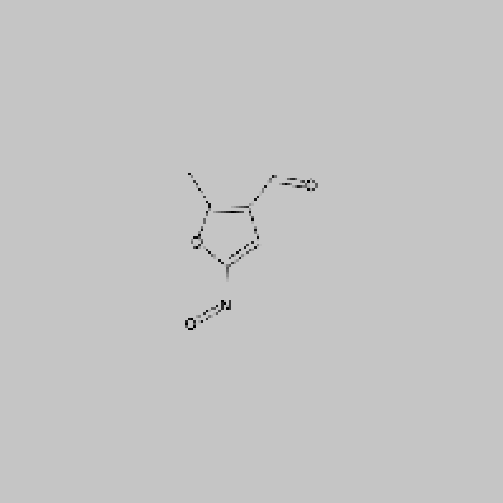 Cc1oc(N=O)cc1C=O